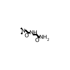 CN(C)CC(=O)NCCC(N)=O